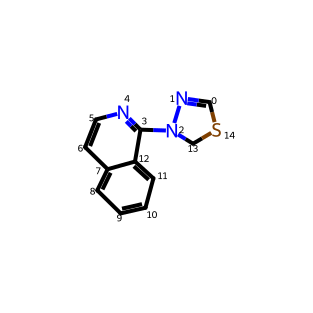 C1=NN(c2nccc3ccccc23)CS1